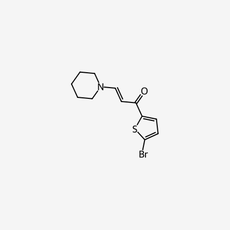 O=C(C=CN1CCCCC1)c1ccc(Br)s1